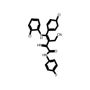 N#CC/C(C(=N)C(=O)Nc1ccc(F)cc1)=C(/Nc1ccccc1Cl)C1=CCC(Cl)C=C1